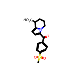 CS(=O)(=O)c1ccc(C(=O)c2ccc3n2CCCC3C(=O)O)cc1